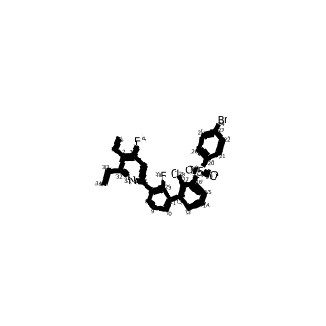 C=Cc1c(F)cc(-c2cccc(-c3cccc(S(=O)(=O)c4ccc(Br)cc4)c3Cl)c2F)nc1CC